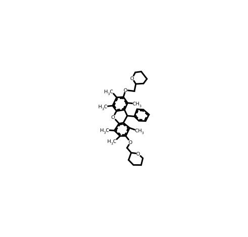 Cc1c(C)c2c(c(C)c1OCC1CCCCO1)C(c1ccccc1)c1c(C)c(OCC3CCCCO3)c(C)c(C)c1O2